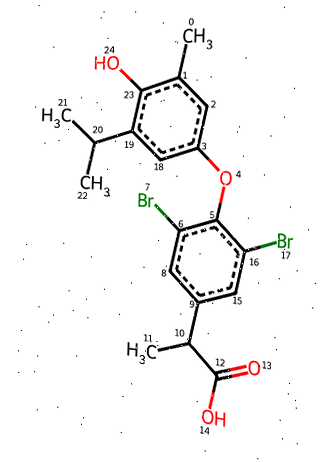 Cc1cc(Oc2c(Br)cc(C(C)C(=O)O)cc2Br)cc(C(C)C)c1O